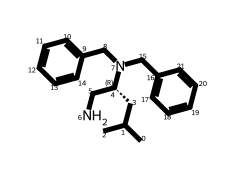 CC(C)C[C@H](CN)N(Cc1ccccc1)Cc1ccccc1